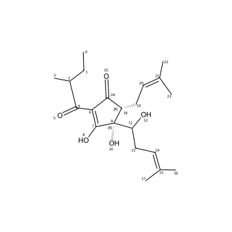 CCC(C)C(=O)C1=C(O)[C@](O)(C(O)CC=C(C)C)[C@@H](CC=C(C)C)C1=O